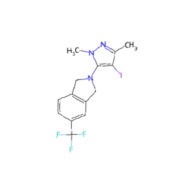 Cc1nn(C)c(N2Cc3ccc(C(F)(F)F)cc3C2)c1I